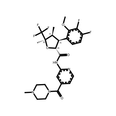 COc1c([C@H]2[C@H](C(=O)Nc3cc(C(=O)N4CCN(C)CC4)ccn3)O[C@@](C)(C(F)(F)F)[C@H]2C)ccc(F)c1F